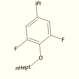 CCCCCCCOc1c(F)cc(C(C)C)cc1F